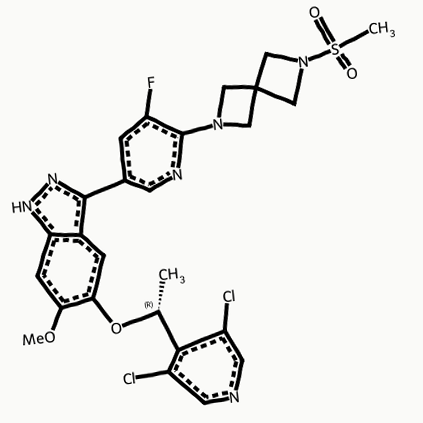 COc1cc2[nH]nc(-c3cnc(N4CC5(C4)CN(S(C)(=O)=O)C5)c(F)c3)c2cc1O[C@H](C)c1c(Cl)cncc1Cl